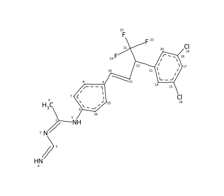 C/C(=N/C=N)Nc1ccc(/C=C/C(c2cc(Cl)cc(Cl)c2)C(F)(F)F)cc1